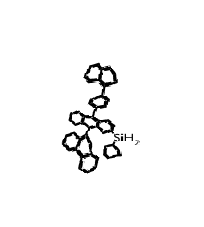 c1ccc([SiH2]c2ccc3c(-c4ccc(-c5cccc6ccccc56)cc4)c4ccccc4c(-c4cc5ccccc5c5ccccc45)c3c2)cc1